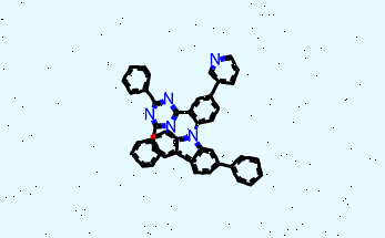 c1ccc(-c2ccc3c4ccccc4n(-c4ccc(-c5cccnc5)cc4-c4nc(-c5ccccc5)nc(-c5ccccc5)n4)c3c2)cc1